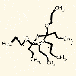 CCCOC(CCC)([N]C(CCC)(OCCC)OCCC)OCCC